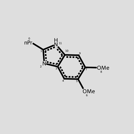 CCCc1nc2cc(OC)c(OC)cc2[nH]1